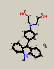 C[n+]1c2ccccc2c(-c2ccc(N(CCO)CCO)cc2)c2ccccc21.[Br-]